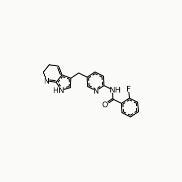 O=C(Nc1ccc(Cc2c[nH]c3c2=CCCN=3)cn1)c1ccccc1F